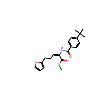 COC(=O)/C(=C\CCc1ccco1)NC(=O)c1ccc(C(C)(C)C)cc1